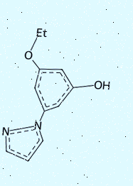 CCOc1cc(O)cc(-n2cccn2)c1